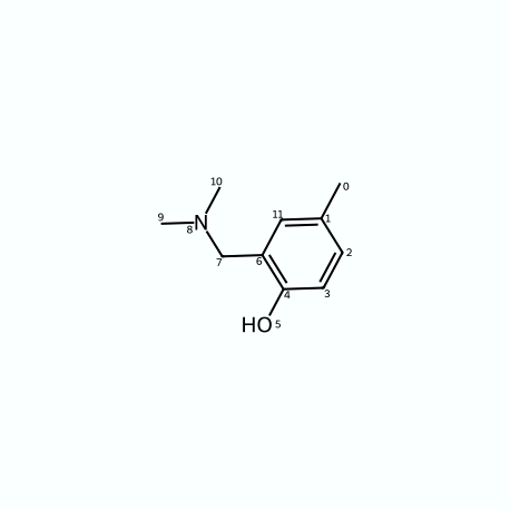 Cc1ccc(O)c(CN(C)C)c1